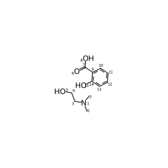 CN(C)CCO.O=C(O)c1ccccc1O